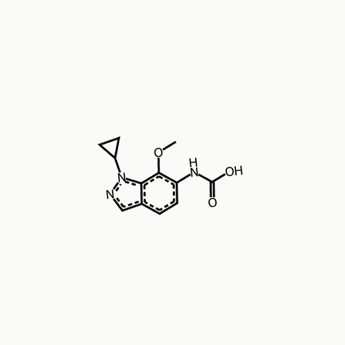 COc1c(NC(=O)O)ccc2cnn(C3CC3)c12